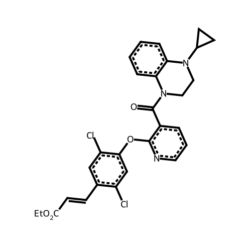 CCOC(=O)C=Cc1cc(Cl)c(Oc2ncccc2C(=O)N2CCN(C3CC3)c3ccccc32)cc1Cl